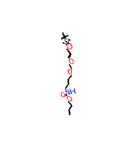 CCCCOC(=O)NCCCCOCCOCCCO[Si](C)(C)C(C)(C)C